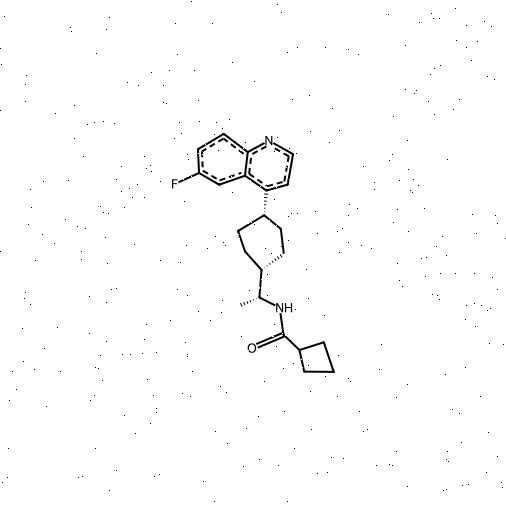 C[C@@H](NC(=O)C1CCC1)[C@H]1CC[C@@H](c2ccnc3ccc(F)cc32)CC1